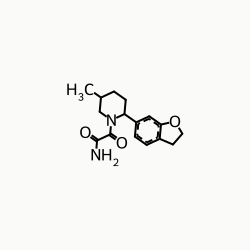 CC1CCC(c2ccc3c(c2)OCC3)N(C(=O)C(N)=O)C1